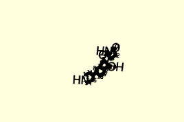 O=C1CCC(N2Cc3cc(C4CCNCC4)ccc3C2O)C(=O)N1